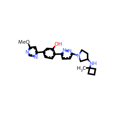 COc1cc(-c2ccc(-c3ccc(N4CCC(NC5(C)CCC5)C4)nn3)c(O)c2)ncn1